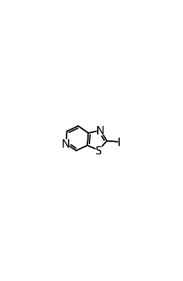 Ic1nc2ccncc2s1